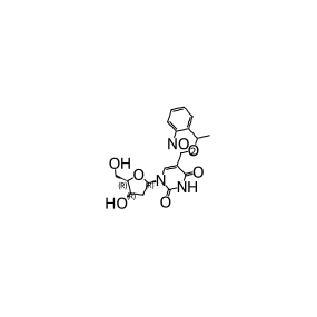 CC(OCc1cn([C@H]2C[C@@H](O)[C@@H](CO)O2)c(=O)[nH]c1=O)c1ccccc1[N+](=O)[O-]